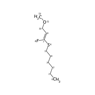 CCCCCCSC(F)=CCOC